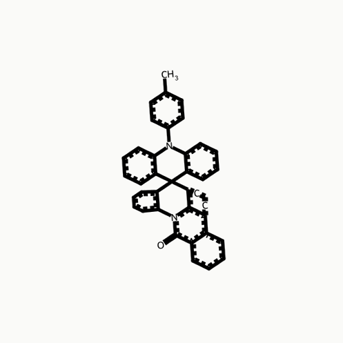 Cc1ccc(N2c3ccccc3C3(c4ccccc42)c2ccccc2-n2c(=O)c4ccccc4c4cccc3c42)cc1